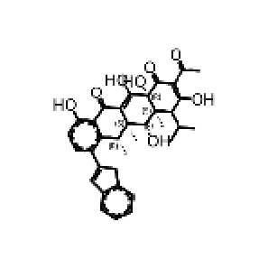 CC(=O)C1=C(O)C(C(C)C)[C@@]2(C)[C@H](O)[C@]3(C)C(=C(O)[C@@]2(O)C1=O)C(=O)c1c(O)ccc(C2=Cc4ccccc4C2)c1[C@H]3C